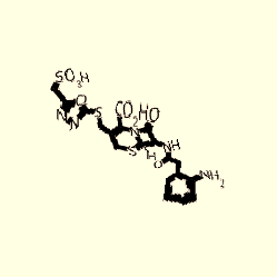 Nc1ccccc1CC(=O)NC1C(=O)N2C(C(=O)O)=C(CSc3nnc(CS(=O)(=O)O)o3)CS[C@H]12